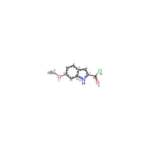 CCCCOc1ccc2cc(C(=O)Cl)[nH]c2c1